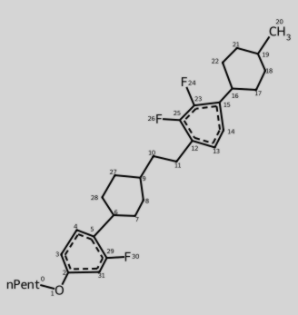 CCCCCOc1ccc(C2CCC(CCc3ccc(C4CCC(C)CC4)c(F)c3F)CC2)c(F)c1